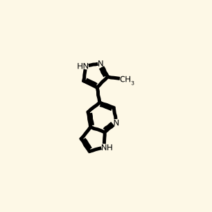 Cc1n[nH]cc1-c1cnc2[nH]ccc2c1